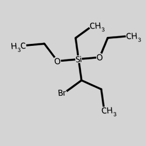 CCO[Si](CC)(OCC)C(Br)CC